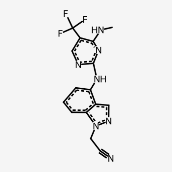 CNc1nc(Nc2cccc3c2cnn3CC#N)ncc1C(F)(F)F